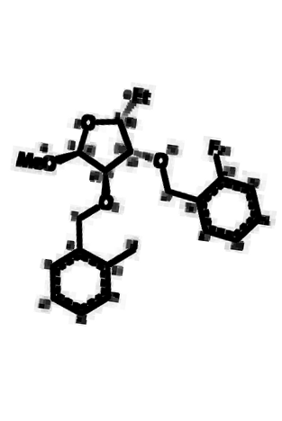 CC[C@H]1O[C@H](OC)[C@H](OCc2ccccc2C)[C@H]1OCc1ccccc1F